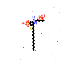 CCCCCCCCCCCCCC(=S)Cc1cc(S(=O)(=O)O)cc2[nH]c(CCC(CC)S(=O)(=O)O)nc12